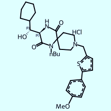 CCCCN1C(=O)[C@@H]([C@H](O)C2CCCCC2)NC(=O)C12CCN(Cc1ccc(-c3ccc(OC)cc3)s1)CC2.Cl